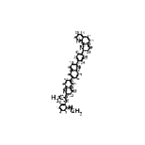 C=Nc1ccccc1/C=C(\C)c1ccc2cc(-c3ccc4nc(-c5ccc(-c6ccc7ccc8cccnc8c7n6)cc5)ccc4c3)ccc2n1